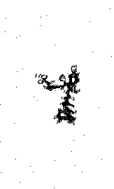 CC(CC(=O)O)CC(=O)c1c(CCCCCCc2ccccc2)n(C)c2ccc(Cl)cc12